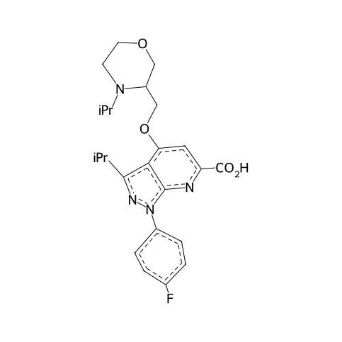 CC(C)c1nn(-c2ccc(F)cc2)c2nc(C(=O)O)cc(OCC3COCCN3C(C)C)c12